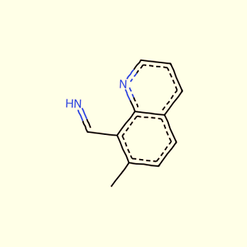 Cc1ccc2cccnc2c1C=N